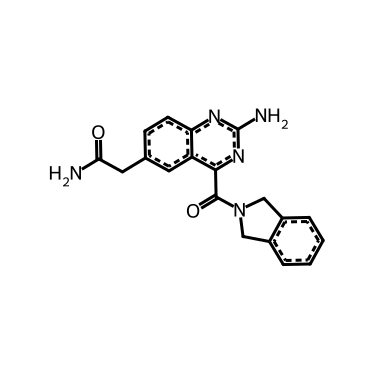 NC(=O)Cc1ccc2nc(N)nc(C(=O)N3Cc4ccccc4C3)c2c1